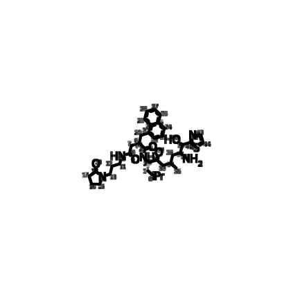 CC(C)C[C@H](NC(=O)[C@@H](CC(=O)NCCCN1CCCC1=O)Cc1cccc2ccccc12)C(=O)CC(C)CC(N)C(O)c1nccs1